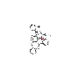 C[C@H](N)C(=O)N(C(=O)Cc1ccccc1F)[C@@H]1C(=O)Nc2ccccc2O[C@@H]1c1ccccc1